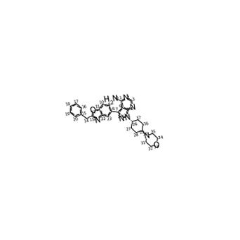 Nc1ncnc2c1c(-c1ccc3oc(Cc4ccccc4)nc3c1)nn2[C@H]1CC[C@H](N2CCOCC2)CC1